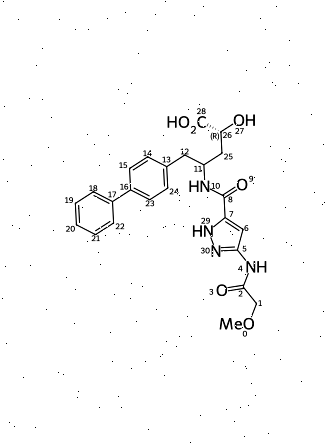 COCC(=O)Nc1cc(C(=O)NC(Cc2ccc(-c3ccccc3)cc2)C[C@@H](O)C(=O)O)[nH]n1